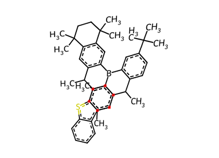 Cc1cc(C)c2c(c1)C(C)c1ccc(C(C)(C)C)cc1B2c1cc2c(cc1C(C)c1cccc3c1sc1ccccc13)C(C)(C)CCC2(C)C